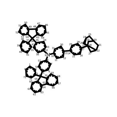 c1ccc(C2(c3ccc(N(c4ccc(-c5ccc(C67CC8CC(CC(C8)C6)C7)cc5)cc4)c4ccc(C5(c6ccccc6)c6ccccc6-c6ccccc65)cc4)cc3)c3ccccc3-c3ccccc32)cc1